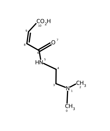 CN(C)CCNC(=O)/C=C\C(=O)O